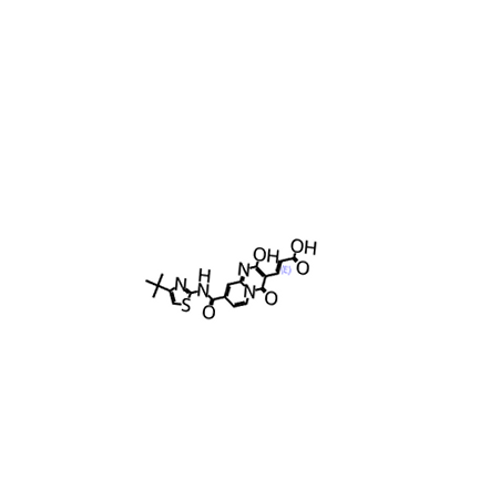 CC(C)(C)c1csc(NC(=O)c2ccn3c(=O)c(/C=C/C(=O)O)c(O)nc3c2)n1